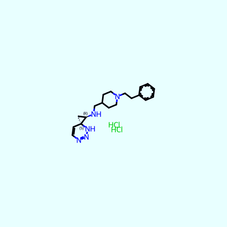 C1=C[C@]2(C[C@H]2NCC2CCN(CCc3ccccc3)CC2)NN=N1.Cl.Cl